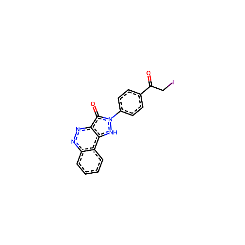 O=C(CI)c1ccc(-n2[nH]c3c(nnc4ccccc43)c2=O)cc1